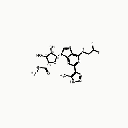 CNC(=O)[C@H]1O[C@@H](n2cnc3c(NCC(F)F)nc(-c4nn[nH]c4C)nc32)[C@H](O)[C@@H]1O